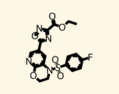 CCOC(=O)c1noc(-c2cnc3c(c2)N(S(=O)(=O)c2ccc(F)cc2)CCO3)n1